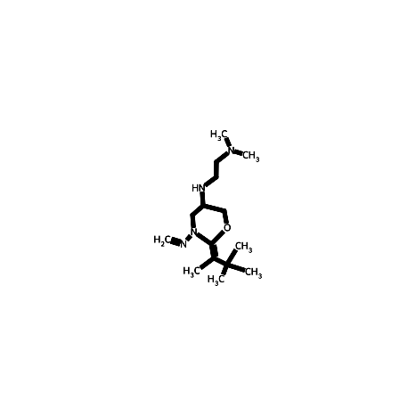 C=NN1CC(NCCN(C)C)CO/C1=C(/C)C(C)(C)C